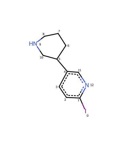 Ic1ccc(C2CCCNC2)cn1